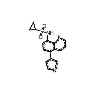 O=S(=O)(Nc1ccc(-c2ccncc2)c2cccnc12)C1CC1